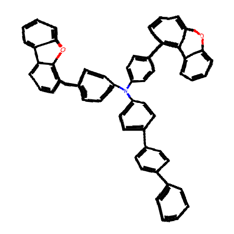 c1ccc(-c2ccc(-c3ccc(N(c4ccc(-c5cccc6c5oc5ccccc56)cc4)c4ccc(-c5cccc6oc7ccccc7c56)cc4)cc3)cc2)cc1